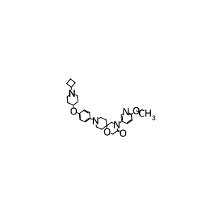 COc1ccc(N2CC3(CCN(c4ccc(OC5CCN(C6CCC6)CC5)cc4)CC3)OCC2=O)cn1